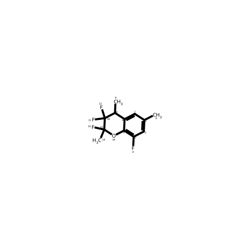 Cc1cc(F)c2c(c1)C(C)C(F)(F)C(C)(F)O2